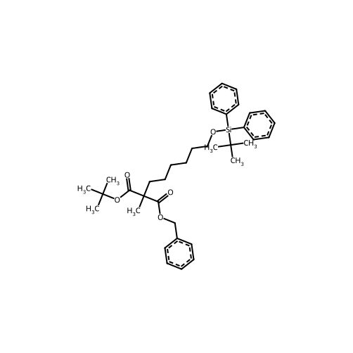 CC(C)(C)OC(=O)C(C)(CCCCCCO[Si](c1ccccc1)(c1ccccc1)C(C)(C)C)C(=O)OCc1ccccc1